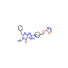 CCCn1c(Cc2ccccc2)nc2nc(C34CCC(COc5nccs5)(CC3)CC4)[nH]c2c1=O